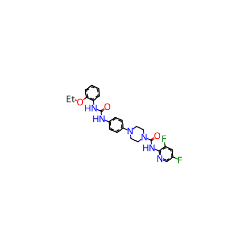 CCOc1ccccc1NC(=O)Nc1ccc(N2CCN(C(=O)Nc3ncc(F)cc3F)CC2)cc1